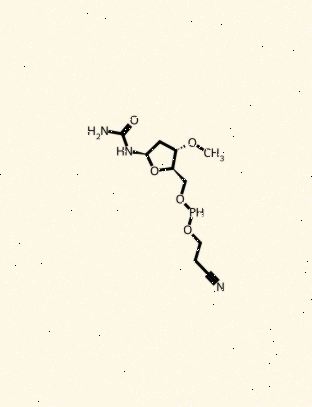 CO[C@H]1C[C@H](NC(N)=O)O[C@@H]1COPOCCC#N